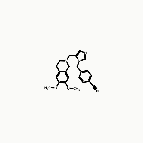 COc1cc2c(cc1OC)CN(Cc1cncn1Cc1ccc(C#N)cc1)CC2